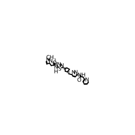 Cn1ccc(CC(=O)NC2NN=C([C@H]3CC[C@@H](Cc4ccc(NC(=O)Cc5ccccn5)nn4)C3)S2)n1